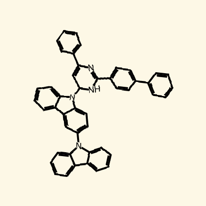 C1=C(c2ccccc2)N=C(c2ccc(-c3ccccc3)cc2)NC1n1c2ccccc2c2cc(-n3c4ccccc4c4ccccc43)ccc21